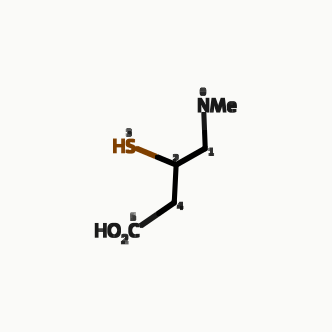 CNCC(S)CC(=O)O